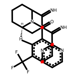 Cc1c(C(=O)N2C3CCC[C@@H]2CN(C(=N)c2ncccn2)C3=N)cccc1C(F)(F)F